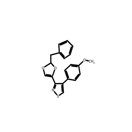 COc1ccc(-c2csnc2C2=COC(Cc3ccccc3)O2)cc1